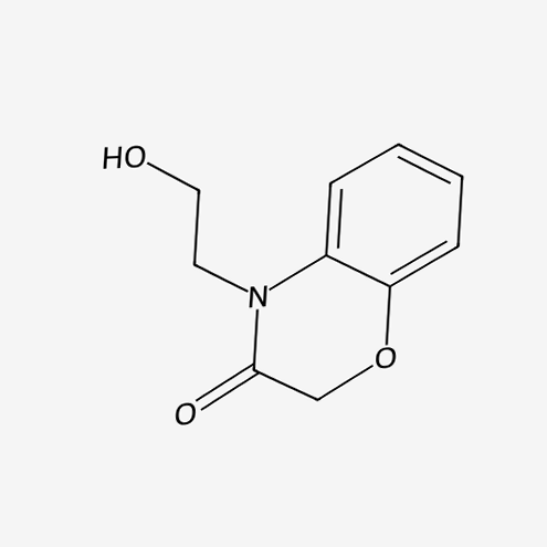 O=C1COc2ccccc2N1CCO